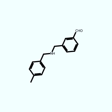 Cc1ccc(CNCc2cccc(C=O)c2)cc1